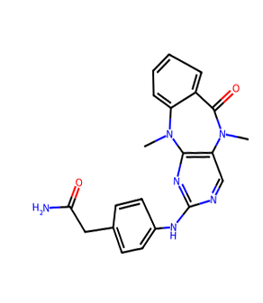 CN1C(=O)c2ccccc2N(C)c2nc(Nc3ccc(CC(N)=O)cc3)ncc21